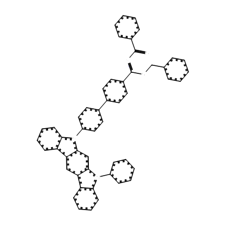 N=C(/N=C(\NCc1ccccc1)c1ccc(-c2ccc(-n3c4ccccc4c4cc5c6ccccc6n(-c6ccccc6)c5cc43)cc2)cc1)c1ccccc1